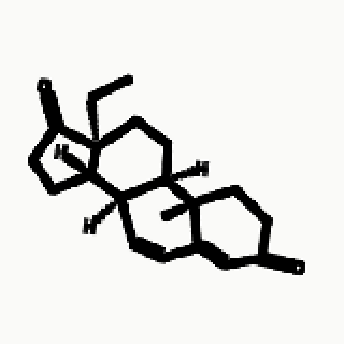 CC[C@]12CC[C@@H]3[C@@H](C=CC4=CC(=O)CC[C@]43C)[C@@H]1CCC2=O